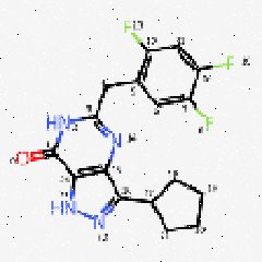 O=c1[nH]c(Cc2cc(F)c(F)cc2F)nc2c(C3CCCC3)n[nH]c12